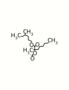 CCCCCCC(C)(O[C]=O)C(=O)OCCCC(C)CC